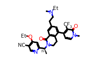 CCOc1cc([C@H](C)N2CCc3c(cc(CCN(C)CC)cc3-c3ccn(C)c(=O)c3C(F)(F)F)C2=O)ncc1C#N